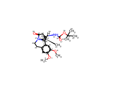 COc1cc2c(cc1OC)[C@@]13C[C@H](C)[C@@H](NC(=O)OC(C)(C)C)[C@@H]1CC(=O)N3CC2